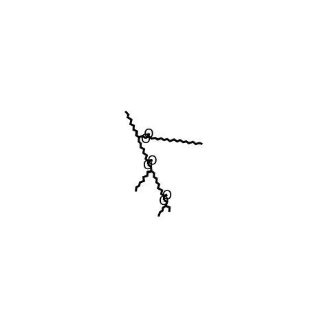 CCCCCCCC=C(CCCCCCCCC(=O)OCC(CC)CCCC)COC(=O)CCCCCCCC(/C=C/CCCCCCC)COC(=O)CCCCCCCCCCCCCCCCC